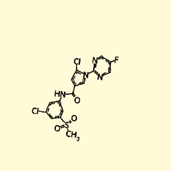 CS(=O)(=O)c1cc(Cl)cc(NC(=O)c2cc(Cl)n(-c3ncc(F)cn3)c2)c1